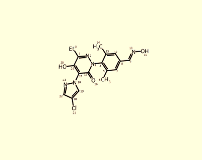 CCc1nn(-c2c(C)cc(/C=N/O)cc2C)c(=O)c(-n2cc(Cl)cn2)c1O